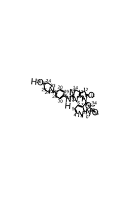 CN(c1ncccc1CN1C(=O)Cc2cnc(Nc3ccc(N4CCC(O)CC4)cc3)nc21)S(C)(=O)=O